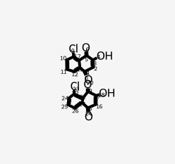 O=C1C=C(O)C(=O)c2c(Cl)cccc21.O=C1C=C(O)C(=O)c2c(Cl)cccc21